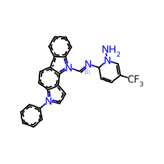 NN1C=C(C(F)(F)F)C=CC1/N=C/n1c2ccccc2c2ccc3c(ccn3-c3ccccc3)c21